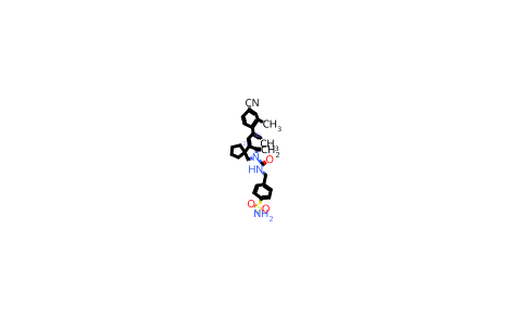 C=C1/C(=C\C(=C/C)c2ccc(C#N)cc2C)C2(CCCC2)CN1C(=O)NCc1ccc(S(N)(=O)=O)cc1